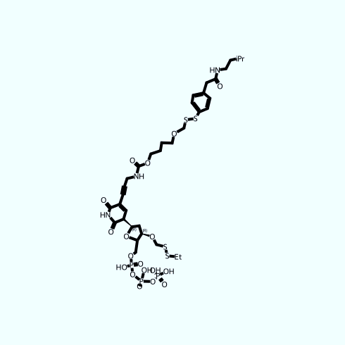 CCSSCO[C@@H]1C[C@H](C2C=C(C#CCNC(=O)OCCCCOCSSc3ccc(CC(=O)NCCC(C)C)cc3)C(=O)NC2=O)OC1COP(=O)(O)OP(=O)(O)OP(=O)(O)O